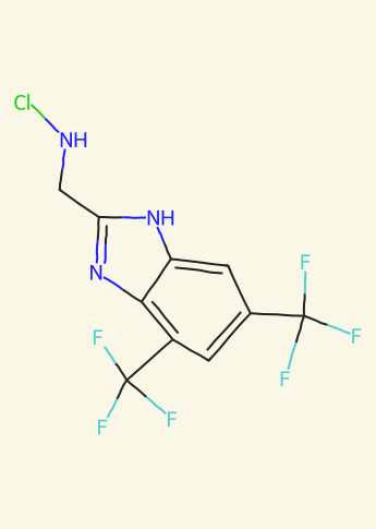 FC(F)(F)c1cc(C(F)(F)F)c2nc(CNCl)[nH]c2c1